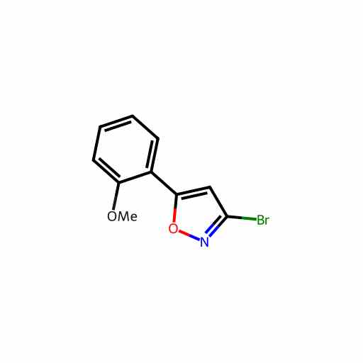 COc1ccccc1-c1cc(Br)no1